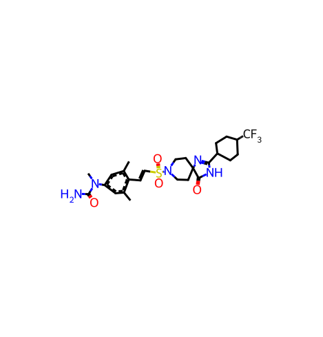 Cc1cc(N(C)C(N)=O)cc(C)c1C=CS(=O)(=O)N1CCC2(CC1)N=C(C1CCC(C(F)(F)F)CC1)NC2=O